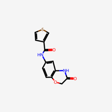 O=C1COc2ccc(NC(=O)c3ccsc3)cc2N1